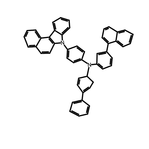 C1=CC(N(c2ccc(-n3c4ccccc4c4c5ccccc5ccc43)cc2)c2cccc(-c3cccc4ccccc34)c2)CC=C1c1ccccc1